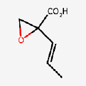 CC=CC1(C(=O)O)CO1